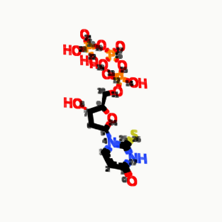 O=c1ccn([C@H]2C[C@H](O)[C@@H](COP(=O)(O)OP(=O)(O)OP(=O)(O)O)O2)c(=S)[nH]1